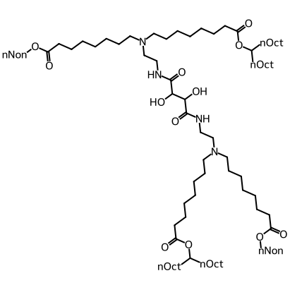 CCCCCCCCCOC(=O)CCCCCCCN(CCCCCCCC(=O)OC(CCCCCCCC)CCCCCCCC)CCNC(=O)C(O)C(O)C(=O)NCCN(CCCCCCCC(=O)OCCCCCCCCC)CCCCCCCC(=O)OC(CCCCCCCC)CCCCCCCC